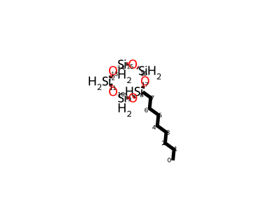 CCCCCCCC[SiH]1O[SiH2]O[SiH2]O[SiH2]O[SiH2]O1